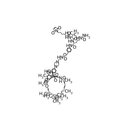 CO[C@H]1/C=C/O[C@@]2(C)Oc3c(C)c(O)c4c(=O)c(c5oc6cc(N7CCN(CCNC(=O)OCc8ccc(NC(=O)[C@H](CCCNC(N)=O)NC(=O)C(NC(=O)CCCCCN9C(=O)C=CC9=O)C(C)C)cc8)CC7)cc(O)c6nc-5c4c3C2=O)NC(=O)/C(C)=C\C=C\[C@H](C)C[C@@H](C)C[C@@H](C)[C@H](OC(C)=O)[C@@H]1C